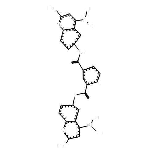 Cc1cc(N(C)C)c2cc(NC(=O)c3cccc(C(=O)Nc4ccc5nc(C)cc(N(C)C)c5c4)c3)ccc2n1